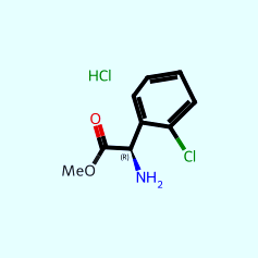 COC(=O)[C@H](N)c1ccccc1Cl.Cl